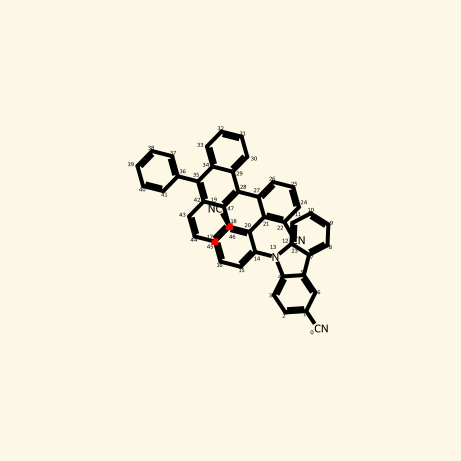 N#Cc1ccc2c(c1)c1ccccc1n2-c1cccc(C#N)c1-c1c(C#N)cccc1-c1c2ccccc2c(-c2ccccc2)c2ccccc12